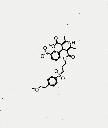 COCCc1ccc(S(=O)(=O)CCCOC(=O)C2=C(C)NC(C)=C(C(=O)OC)C2c2cccc([N+](=O)[O-])c2)cc1